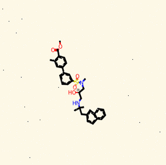 COC(=O)c1ccc(-c2cccc(S(=O)(=O)N(C)C[C@H](O)CNC(C)(C)Cc3ccc4ccccc4c3)c2)cc1C